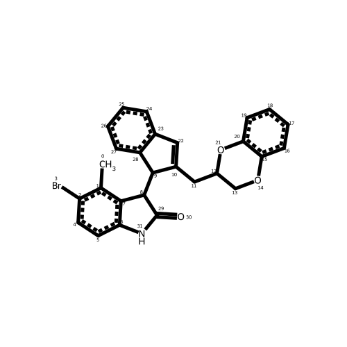 Cc1c(Br)ccc2c1C(C1C(CC3COc4ccccc4O3)=Cc3ccccc31)C(=O)N2